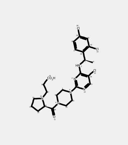 C[C@@H](Nc1nc(N2CCN(C(=O)[C@H]3CCCN3CCC(=O)O)CC2)ncc1Cl)c1ccc(Cl)cc1Cl